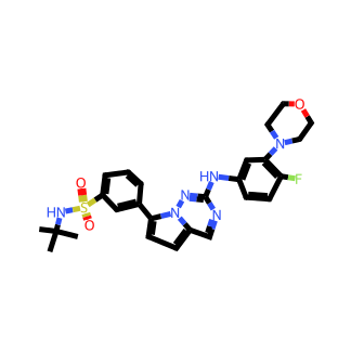 CC(C)(C)NS(=O)(=O)c1cccc(-c2ccc3cnc(Nc4ccc(F)c(N5CCOCC5)c4)nn23)c1